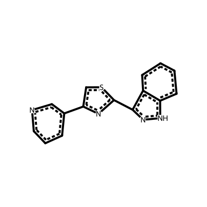 c1cncc(-c2csc(-c3n[nH]c4ccccc34)n2)c1